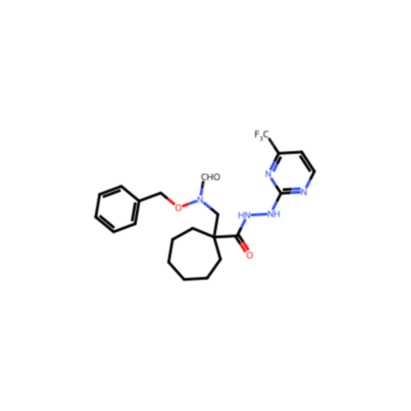 O=CN(CC1(C(=O)NNc2nccc(C(F)(F)F)n2)CCCCCC1)OCc1ccccc1